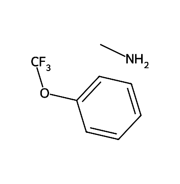 CN.FC(F)(F)Oc1ccccc1